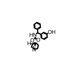 O=C(NC(c1ccccc1)c1cccc(O)c1)O[C@H]1CN2CCC1CC2